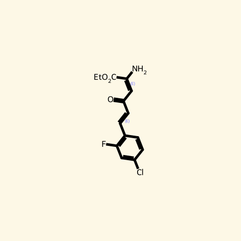 CCOC(=O)/C(N)=C\C(=O)/C=C/c1ccc(Cl)cc1F